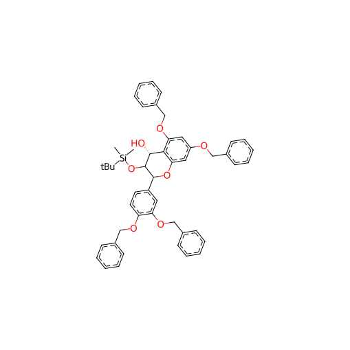 CC(C)(C)[Si](C)(C)OC1C(c2ccc(OCc3ccccc3)c(OCc3ccccc3)c2)Oc2cc(OCc3ccccc3)cc(OCc3ccccc3)c2[C@H]1O